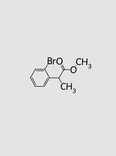 COC(=O)C(C)c1ccccc1Br